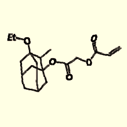 C=CC(=O)OCC(=O)OC12CC3CC(CC(OCC)(C3)C1C)C2